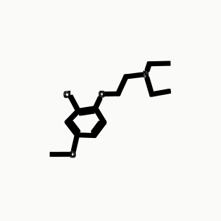 CCN(CC)CCOc1ccc(OC)cc1Cl